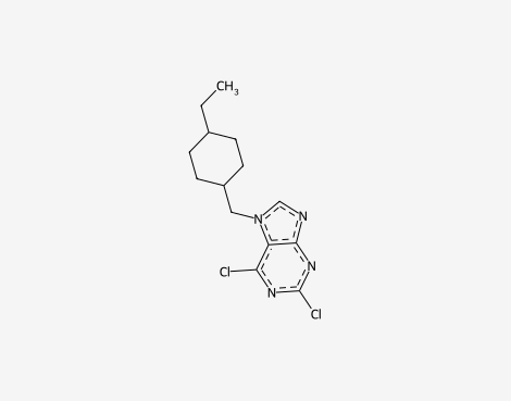 CCC1CCC(Cn2cnc3nc(Cl)nc(Cl)c32)CC1